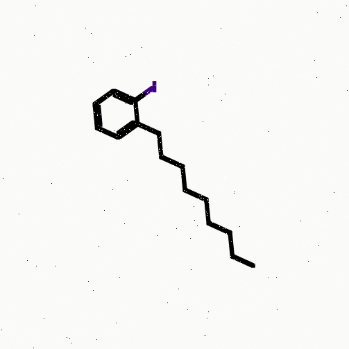 CCCCCCCCCc1ccccc1I